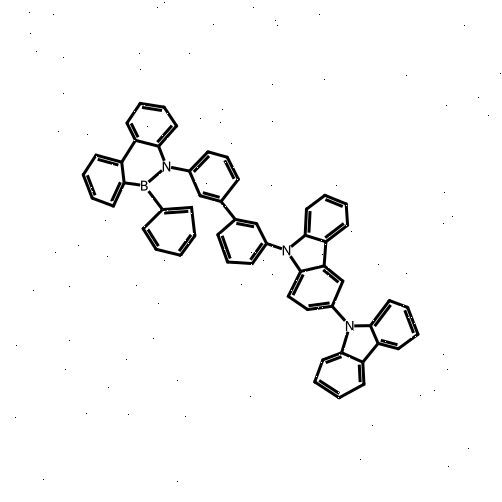 c1ccc(B2c3ccccc3-c3ccccc3N2c2cccc(-c3cccc(-n4c5ccccc5c5cc(-n6c7ccccc7c7ccccc76)ccc54)c3)c2)cc1